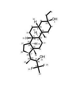 CC[C@]1(O)CC[C@@]2(C)[C@H](CC[C@@H]3[C@@H]2CC[C@]2(C)[C@@H]([C@H](C)[C@@H](O)C(C)(F)F)CC[C@@H]32)C1